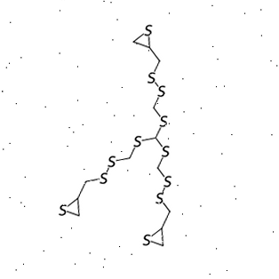 C(SSCC1CS1)SC(SCSSCC1CS1)SCSSCC1CS1